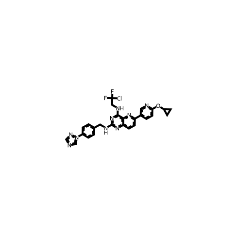 FC(F)(Cl)CNc1nc(NCc2ccc(-n3cncn3)cc2)nc2ccc(-c3ccc(OC4CC4)nc3)nc12